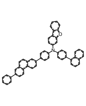 c1ccc(-c2ccc3c(ccc4cc(-c5ccc(N(c6ccc(-c7cccc8ccccc78)cc6)c6ccc7c(c6)oc6ccccc67)cc5)ccc43)c2)cc1